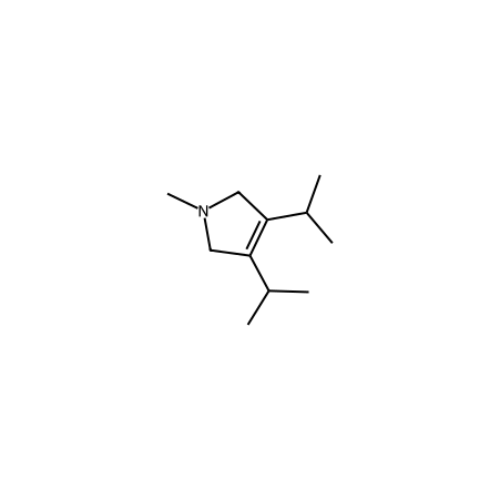 CC(C)C1=C(C(C)C)CN(C)C1